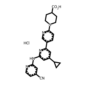 Cl.N#Cc1ccnc(Nc2cc(C3CC3)cc(-c3ccc(N4CCC(C(=O)O)CC4)nc3)n2)c1